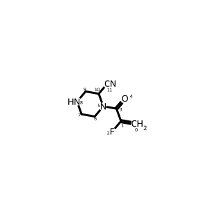 C=C(F)C(=O)N1CCNCC1C#N